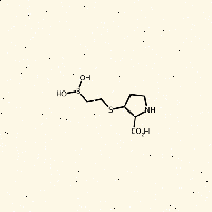 O=C(O)C1NCCC1SCCB(O)O